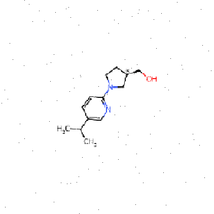 CC(C)c1ccc(N2CC[C@@H](CO)C2)nc1